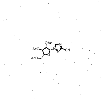 CC(=O)OC[C@H]1O[C@@H](n2cnc(C#N)n2)[C@@H](OC(C)=O)C1OC(C)=O